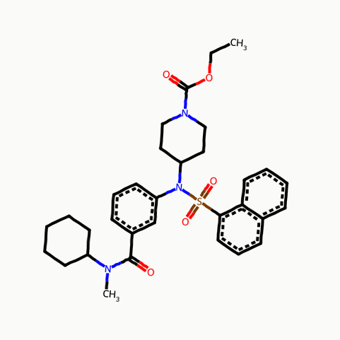 CCOC(=O)N1CCC(N(c2cccc(C(=O)N(C)C3CCCCC3)c2)S(=O)(=O)c2cccc3ccccc23)CC1